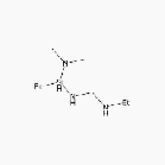 CCNCN[SiH](CC)N(C)C